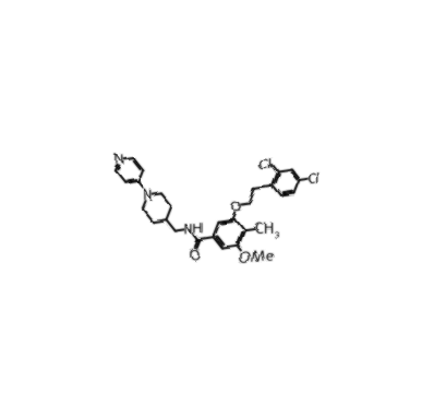 COc1cc(C(=O)NCC2CCN(c3ccncc3)CC2)cc(OCCc2ccc(Cl)cc2Cl)c1C